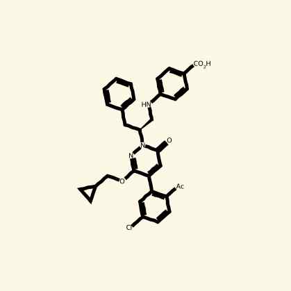 CC(=O)c1ccc(Cl)cc1-c1cc(=O)n([C@H](CNc2ccc(C(=O)O)cc2)Cc2ccccc2)nc1OCC1CC1